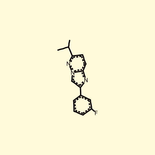 CC(C)c1ccc2nc(-c3cccc(F)c3)cn2n1